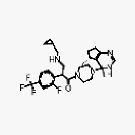 C[C@@H]1CCC2=C1[C@@](C)(N1CCN(C(=O)[C@H](CNCC3CC3)c3ccc(C(F)(F)F)cc3F)CC1)NC=N2